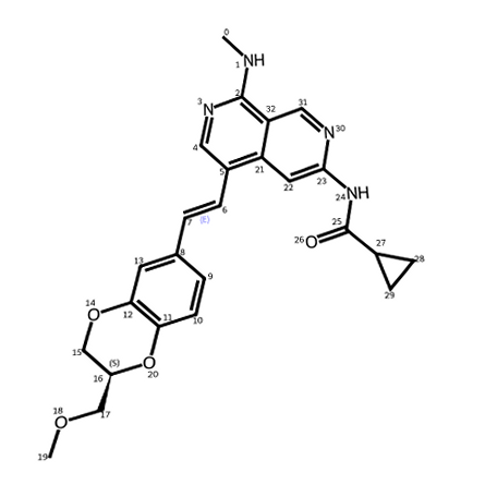 CNc1ncc(/C=C/c2ccc3c(c2)OC[C@H](COC)O3)c2cc(NC(=O)C3CC3)ncc12